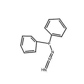 N=[N+]=NP(c1ccccc1)c1ccccc1